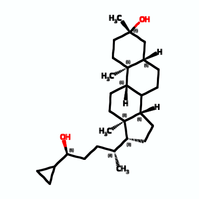 C[C@H](CC[C@H](O)C1CC1)[C@H]1CC[C@H]2C3CC[C@H]4C[C@@](C)(O)CC[C@]4(C)[C@H]3CC[C@]12C